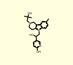 Cc1ccc2c(c1)c1c(n2CC(O)c2ccc(O)nc2)CCN(CC(C)(C)O)C1